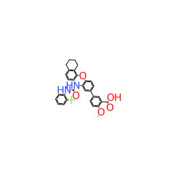 COc1ccc(-c2ccc(Oc3cccc4c3CCCC4)c(NC(=O)Nc3ccccc3F)c2)cc1C(=O)O